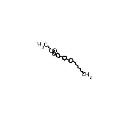 CCCCCCCCC1CC=C(c2ccc(-c3ccc(OC(=O)OCCCC)cc3)cc2)CC1